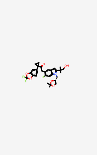 CC1(C)OC[C@H](Cn2c(C(C)(C)CO)cc3cc(CC(=O)C4(c5ccc6c(c5)OC(F)(F)O6)CC4)c(F)cc32)O1